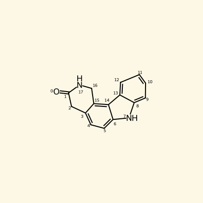 O=C1Cc2ccc3[nH]c4ccccc4c3c2CN1